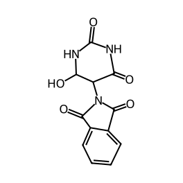 O=C1NC(=O)C(N2C(=O)c3ccccc3C2=O)C(O)N1